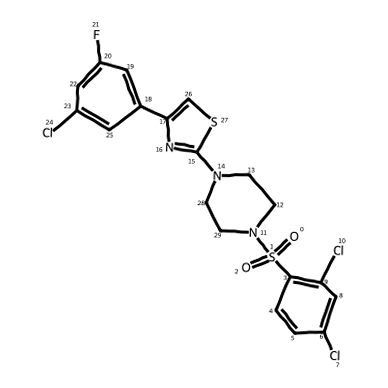 O=S(=O)(c1ccc(Cl)cc1Cl)N1CCN(c2nc(-c3cc(F)cc(Cl)c3)cs2)CC1